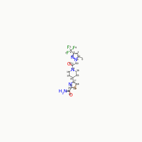 Cc1cc(C(F)(F)F)nn1CC(=O)N1CCC(c2csc(C(N)=O)n2)CC1